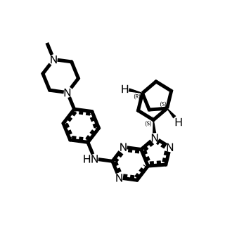 CN1CCN(c2ccc(Nc3ncc4cnn([C@H]5C[C@@H]6CC[C@H]5C6)c4n3)cc2)CC1